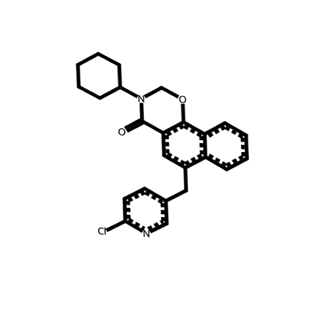 O=C1c2cc(Cc3ccc(Cl)nc3)c3ccccc3c2OCN1C1CCCCC1